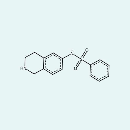 O=S(=O)(Nc1ccc2c(c1)CCNC2)c1ccccc1